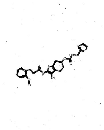 CCOc1ccccc1CCC(=O)Nc1sc2c(c1N)CCC(OC(=O)NCc1nccs1)C2